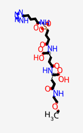 CCOCCNC(=O)CC[C@H](NC(=O)CC[C@H](NC(=O)CCCS(=O)(=O)NC(=O)CCCc1nnn[nH]1)C(=O)O)C(=O)O